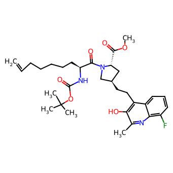 C=CCCCCC[C@H](NC(=O)OC(C)(C)C)C(=O)N1C[C@H](CCc2c(O)c(C)nc3c(F)cccc23)C[C@H]1C(=O)OC